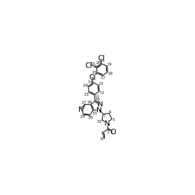 C=CC(=O)N1CCC(n2nc(-c3ccc(Oc4cccc(Cl)c4Cl)cc3)c3cnccc32)C1